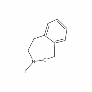 IN1CCc2ccccc2CC1